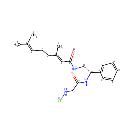 CC(C)=CCC/C(C)=C/C(=O)NC[C@@H](NC(=O)CNCl)c1ccccc1